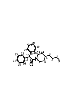 CCCCC1CCN(C(=O)C(c2ccccc2)c2ccccc2)CC1